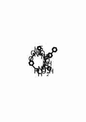 O=C1COc2ccc(cc2)C[C@@H](C(=O)O)NC(=O)[C@H](Cc2cccs2)NC(=O)[C@@H](Cc2ccc(-c3ccccc3)cc2)NC(=O)[C@H](Cc2cccs2)N1